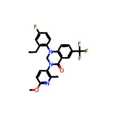 CCc1cc(F)ccc1N1CN(c2ccc(OC)nc2C)C(=O)c2cc(C(F)(F)F)ccc21